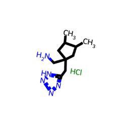 CC1CC(CN)(Cc2nnn[nH]2)CC1C.Cl